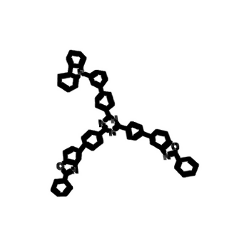 c1ccc(-c2nc3cc(-c4ccc(-c5nc(-c6ccc(-c7cccc(-n8c9ccccc9c9ccccc98)c7)cc6)nc(-c6ccc(-c7ccc8oc(-c9ccccc9)nc8c7)cc6)n5)cc4)ccc3o2)cc1